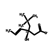 CC=C[C@@](O)(CC(=O)[O-])C[N+](C)(C)C